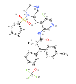 Cc1ccc([C@@H](c2cccc(OC(F)(F)F)c2)[C@H](C)C(=O)Nc2cncc(F)c2CC2CNCCN2S(=O)(=O)c2ccccc2)cc1